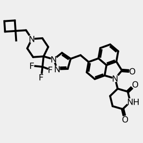 CC1(CN2CCC(n3cc(Cc4ccc5c6c(cccc46)C(=O)N5C4CCC(=O)NC4=O)cn3)(C(F)(F)F)CC2)CCC1